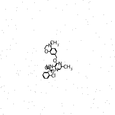 Cc1cnc(NS(=O)(=O)c2ccccc2Cl)c(OCc2ccc3c(c2)OCCN3C)n1